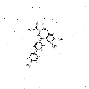 CNC(=O)N1N=C(c2ccc(-c3cnc(OC)nc3)cc2)c2cc(OC)c(OC)cc2CC1C